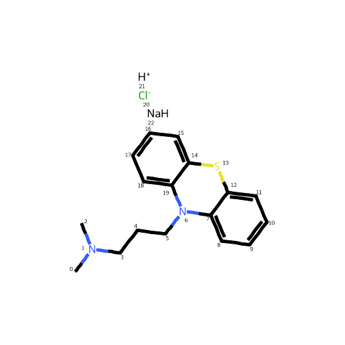 CN(C)CCCN1c2ccccc2Sc2ccccc21.[Cl-].[H+].[NaH]